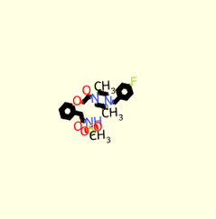 C[C@@H]1CN(Cc2ccc(F)cc2)[C@@H](C)CN1C(=O)COc1ccccc1CC(=O)NS(C)(=O)=O